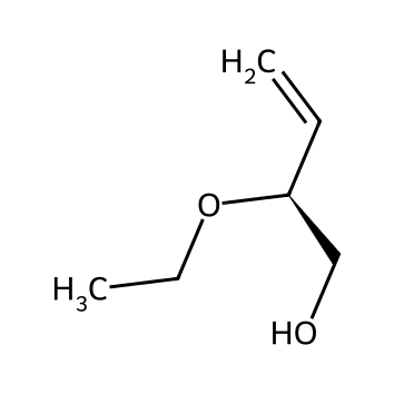 C=C[C@@H](CO)OCC